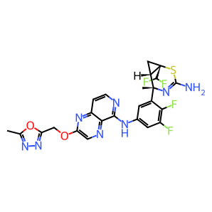 Cc1nnc(COc2cnc3c(Nc4cc(F)c(F)c([C@@]5(C)N=C(N)S[C@@]6(C(F)F)C[C@@H]56)c4)nccc3n2)o1